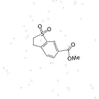 COC(=O)c1ccc2c(c1)S(=O)(=O)CC2